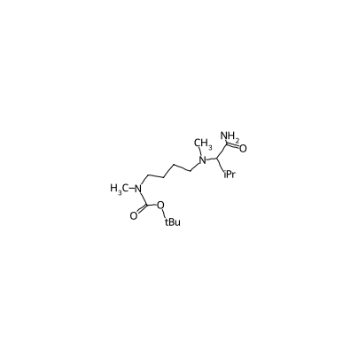 CC(C)C(C(N)=O)N(C)CCCCN(C)C(=O)OC(C)(C)C